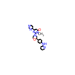 Cn1c(N2CCOC(c3ccc(Nc4ccccn4)cc3)C2)nc(-c2ccncn2)cc1=O